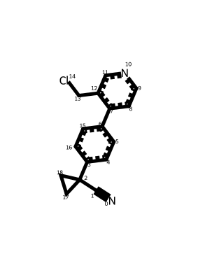 N#CC1(c2ccc(-c3ccncc3CCl)cc2)CC1